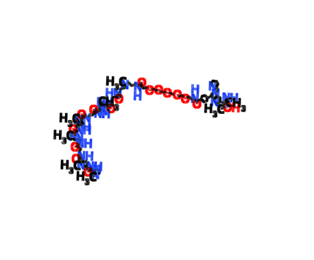 CC(=N)/C(=C(/C)O)c1cnc2c(-c3ccc(C(=O)NCCOCCOCCOCCOCCOCCC(=O)NCCCN(C)CCCNC(=O)CCNC(=O)c4nc(NC(=O)CCNC(=O)c5cc(NC(=O)c6nc(NC(=O)CCNC(=O)c7cc(NC(=O)c8nccn8C)cn7C)cn6C)cn5C)cn4C)cc3)cn(Cc3ccccn3)c2c1